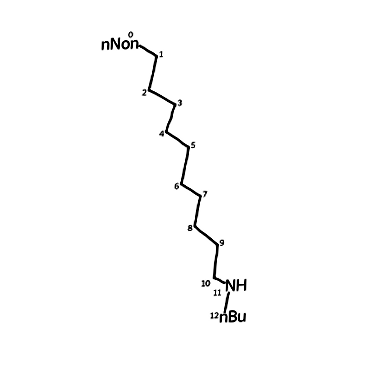 CCCCCCCCCCCCCCCCCCCNCCCC